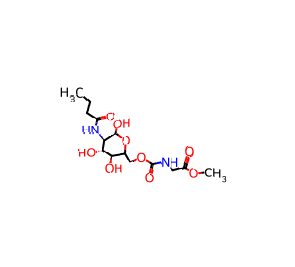 CCCC(=O)N[C@H]1C(O)OC(COC(=O)NCC(=O)OC)[C@@H](O)[C@@H]1O